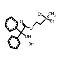 CC[N+](C)(CC)CCOC(=O)C(O)(c1ccccc1)c1ccccc1.[Br-]